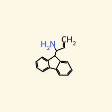 C=CC(N)C1c2ccccc2-c2ccccc21